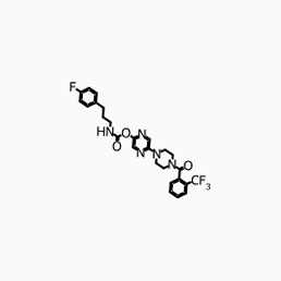 O=C(NCCCc1ccc(F)cc1)Oc1cnc(N2CCN(C(=O)c3ccccc3C(F)(F)F)CC2)cn1